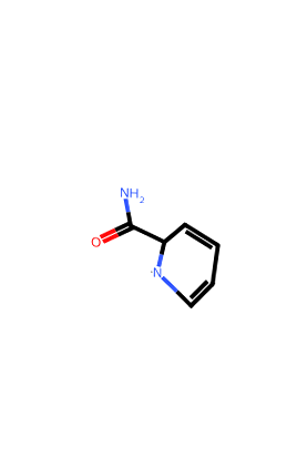 NC(=O)C1C=CC=C[N]1